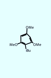 CCC(C)c1c(OC)cc(OC)cc1OC